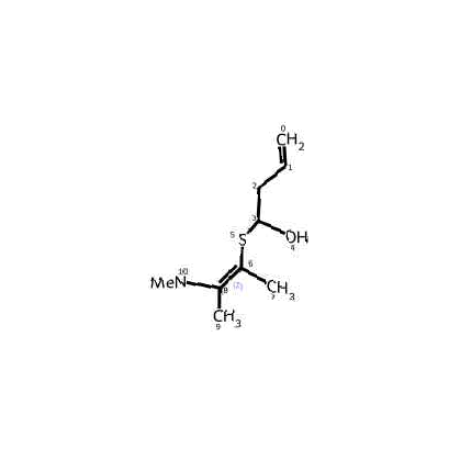 C=CCC(O)S/C(C)=C(/C)NC